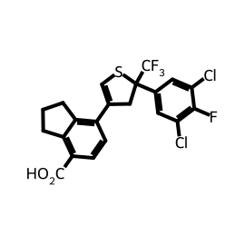 O=C(O)c1ccc(C2=CSC(c3cc(Cl)c(F)c(Cl)c3)(C(F)(F)F)C2)c2c1CCC2